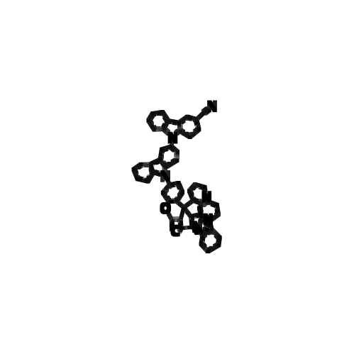 N#Cc1ccc2c(c1)c1ccccc1n2-c1ccc2c(c1)c1ccccc1n2-c1ccc2c(c1)Oc1cccc(-n3c4ccccc4c4ccccc43)c1C21c2cccnc2-c2ncccc21